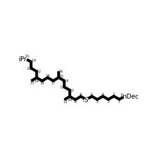 CCCCCCCCCCCCCCCCSCCC(C)CCCC(C)CCCC(C)CCCC(C)C